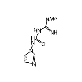 CNC(=N)NC(=O)Nn1ccnc1